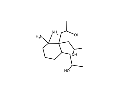 CC(O)CC1CCCC(N)(N)C1(CC(C)O)CC(C)O